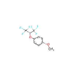 COc1ccc(OC(C(F)(F)F)C(F)(F)F)cc1